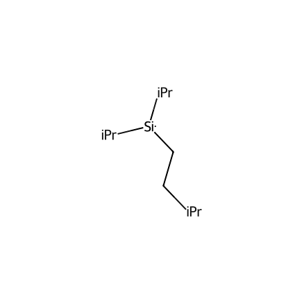 CC(C)CC[Si](C(C)C)C(C)C